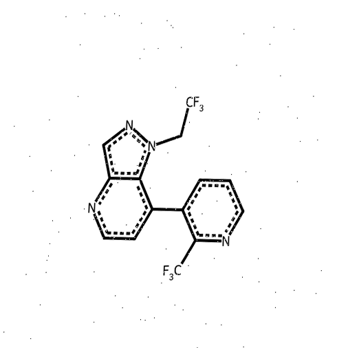 FC(F)(F)Cn1ncc2nccc(-c3cccnc3C(F)(F)F)c21